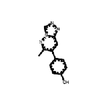 Cc1nn2cnnc2cc1-c1ccc(O)cc1